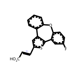 O=C(O)/C=C/c1cc2c(s1)-c1cc(F)ccc1Oc1ccccc1-2